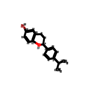 CC(C)c1ccc(C2CCc3cc(Br)ccc3O2)cc1